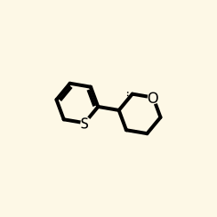 [C]1OCCCC1C1=CC=CCS1